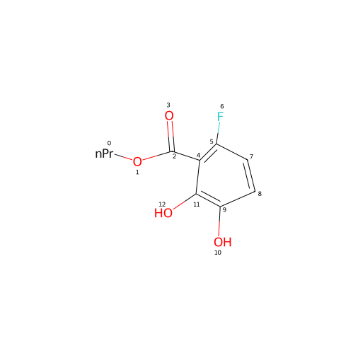 CCCOC(=O)c1c(F)ccc(O)c1O